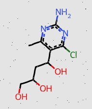 Cc1nc(N)nc(Cl)c1C(O)CC(O)CO